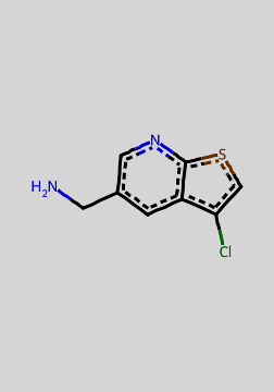 NCc1cnc2scc(Cl)c2c1